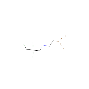 FC(F)(CCl)CNCC[SH](S)S